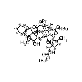 CCC[C@H](O)C(=O)N[C@@H]1C(O)[C@H](NC(=O)OC(C)(C)C)C(O[C@H]2OC(CNC(=O)OC(C)(C)C)CCC2C)C(O)[C@H]1O[C@H]1OC2COC3(CCCCC3)O[C@H]2[C@H](C)C1O